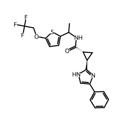 CC(NC(=O)[C@@H]1C[C@H]1c1nc(-c2ccccc2)c[nH]1)c1ccc(OCC(F)(F)F)s1